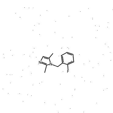 Cc1cnc(C)n1Cc1ccccc1F